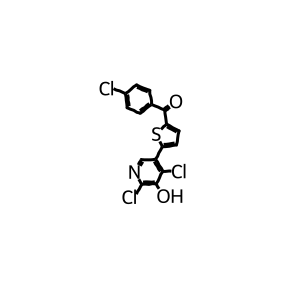 O=C(c1ccc(Cl)cc1)c1ccc(-c2cnc(Cl)c(O)c2Cl)s1